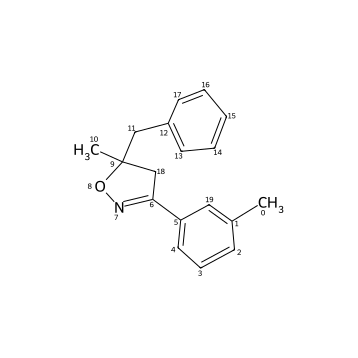 Cc1cccc(C2=NOC(C)(Cc3ccccc3)C2)c1